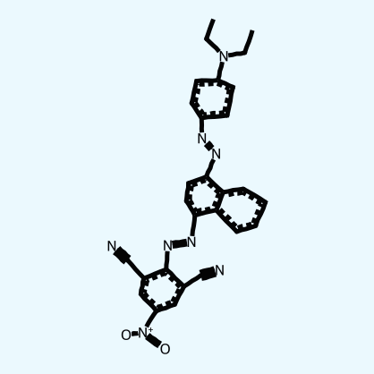 CCN(CC)c1ccc(N=Nc2ccc(N=Nc3c(C#N)cc([N+](=O)[O-])cc3C#N)c3ccccc23)cc1